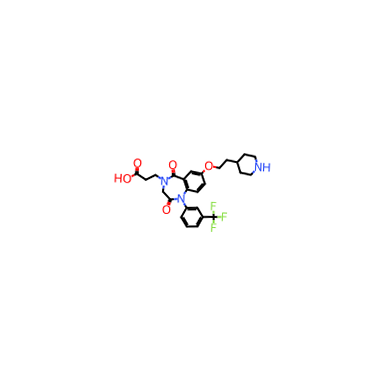 O=C(O)CCN1CC(=O)N(c2cccc(C(F)(F)F)c2)c2ccc(OCCC3CCNCC3)cc2C1=O